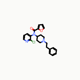 O=C(c1ccco1)N(c1cccnc1Cl)C1CCN(CCc2ccccc2)CC1